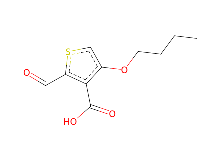 CCCCOc1csc(C=O)c1C(=O)O